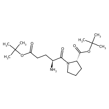 CC(C)(C)OC(=O)CC[C@H](N)C(=O)N1CCC[C@H]1C(=O)OC(C)(C)C